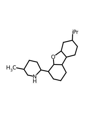 CC1CCC(C2CCCC3C4CCC(C(C)C)CC4OC23)NC1